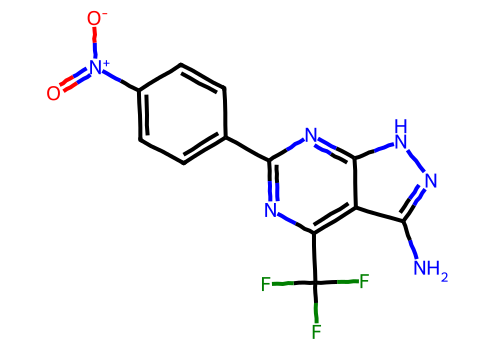 Nc1n[nH]c2nc(-c3ccc([N+](=O)[O-])cc3)nc(C(F)(F)F)c12